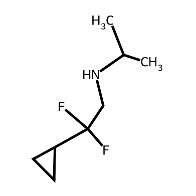 CC(C)NCC(F)(F)C1CC1